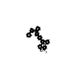 CC1CC=CC2=C1c1ccccc1-n1c3ccccc3c3cc(-c4ccc(-c5ccc6c(c5)c5ccccc5n6-c5cccc(-c6ccccc6)c5)cc4)cc2c31